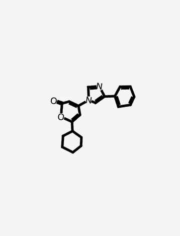 O=c1cc(-n2cnc(-c3ccccc3)c2)cc(C2CCCCC2)o1